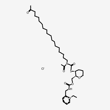 CC[n+]1ccccc1CNC(=O)OC[C@@H]1OCCC[C@@H]1SC(=O)N(CCCCCCCCCCCCCCCCCC(C)=O)C(C)=O.[Cl-]